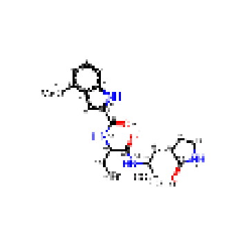 COc1cccc2[nH]c(C(=O)NC(CC(C)C)C(=O)NC(C[C@@H]3CCNC3=O)C(=O)O)cc12